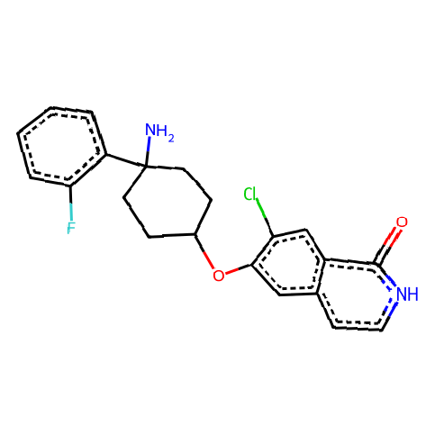 NC1(c2ccccc2F)CCC(Oc2cc3cc[nH]c(=O)c3cc2Cl)CC1